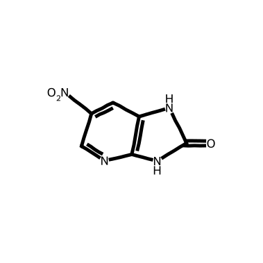 O=c1[nH]c2cc([N+](=O)[O-])cnc2[nH]1